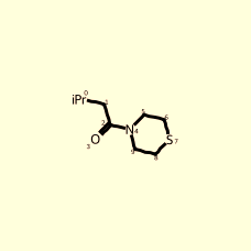 CC(C)CC(=O)N1CCSCC1